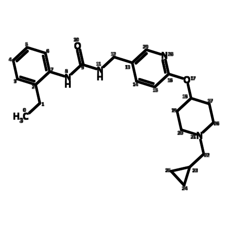 CCc1ccccc1NC(=O)NCc1ccc(OC2CCN(CC3CC3)CC2)nc1